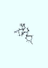 CN1CCN(c2ccc(N)c(CC(F)F)c2F)CC1